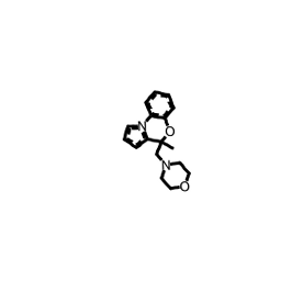 CC1(CN2CCOCC2)Oc2ccccc2-n2cccc21